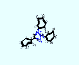 c1ccc(-c2c[n+](-c3ccccc3)n(-c3ccccc3)n2)cc1